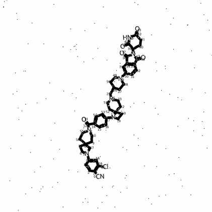 N#Cc1ccc(N2CCC3(CCN(C(=O)c4ccc(N5CCC56CCN(CC5CCN(c7ccc8c(c7)C(=O)N(C7CCC(=O)NC7=O)C8=O)CC5)CC6)cc4)CC3)C2)cc1Cl